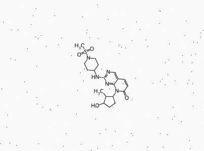 CC1C(O)CCC1n1c(=O)ccc2cnc(NC3CCN(S(C)(=O)=O)CC3)nc21